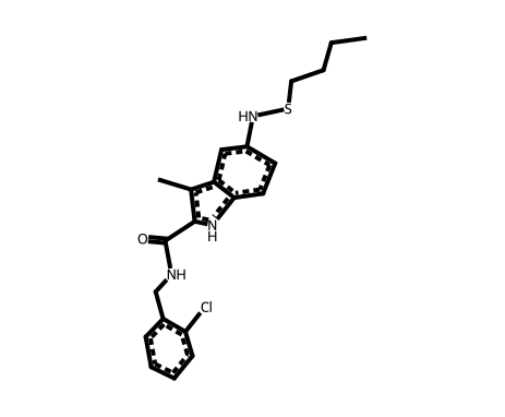 CCCCSNc1ccc2[nH]c(C(=O)NCc3ccccc3Cl)c(C)c2c1